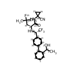 CC(O)c1ccccc1-c1ccc([C@H](N[C@@H](CC(C)(C)F)C(=O)NC2(C#N)CC2)C(F)(F)F)cc1